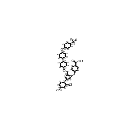 O=C(O)c1ccc(Cn2cc(-c3ccc(Cl)cc3Cl)nc2COc2ccc(-c3ccc(Oc4ccc(C(F)(F)F)cc4)cc3)cc2)cc1